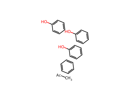 CC(C)=O.Oc1ccccc1.Oc1ccccc1.Oc1ccccc1.c1ccccc1